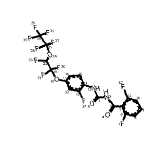 O=C(NC(=O)c1c(F)cccc1F)Nc1ccc(OC(F)(F)C(F)OC(F)(F)C(F)(F)F)cc1F